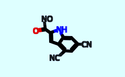 N#Cc1cc(C#N)c2cc(C(=O)N=O)[nH]c2c1